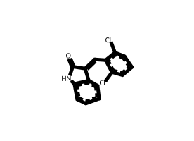 O=C1Nc2ccccc2C1=Cc1c(Cl)cccc1Cl